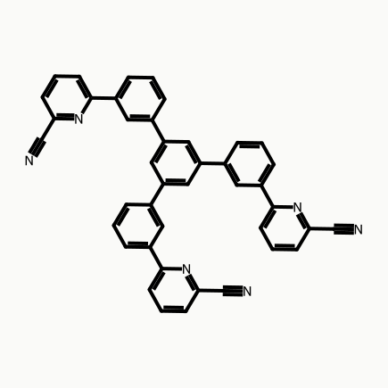 N#Cc1cccc(-c2cccc(-c3cc(-c4cccc(-c5cccc(C#N)n5)c4)cc(-c4cccc(-c5cccc(C#N)n5)c4)c3)c2)n1